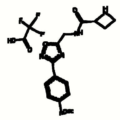 CCCCCCCCCCc1ccc(-c2noc(CNC(=O)[C@@H]3CCN3)n2)cc1.O=C(O)C(F)(F)F